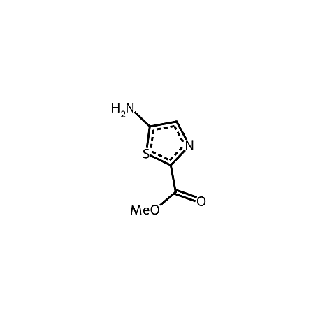 COC(=O)c1ncc(N)s1